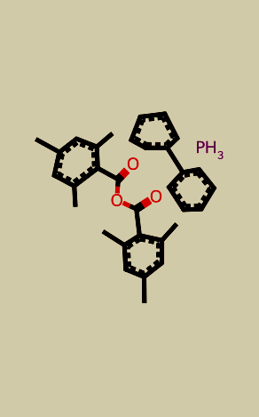 Cc1cc(C)c(C(=O)OC(=O)c2c(C)cc(C)cc2C)c(C)c1.P.c1ccc(-c2ccccc2)cc1